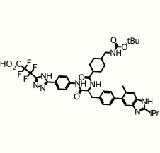 Cc1cc2[nH]c(C(C)C)nc2cc1-c1ccc(C[C@H](NC(=O)C2CCC(CNC(=O)OC(C)(C)C)CC2)C(=O)Nc2ccc(-c3nnc(C(F)(F)C(F)(F)C(=O)O)[nH]3)cc2)cc1